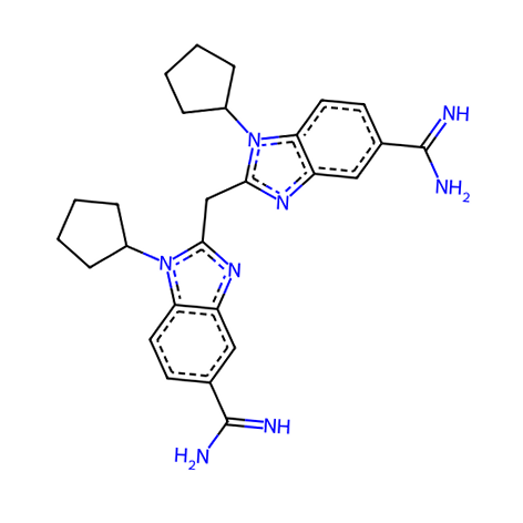 N=C(N)c1ccc2c(c1)nc(Cc1nc3cc(C(=N)N)ccc3n1C1CCCC1)n2C1CCCC1